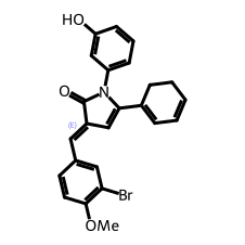 COc1ccc(/C=C2\C=C(C3=CC=CCC3)N(c3cccc(O)c3)C2=O)cc1Br